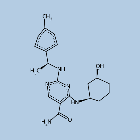 Cc1ccc([C@H](C)Nc2ncc(C(N)=O)c(N[C@@H]3CCC[C@H](O)C3)n2)cc1